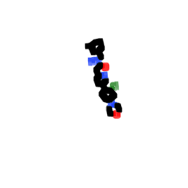 Cc1cccc(CNC(=O)Cc2ccc(-c3ccc(N4CCOCC4)cc3Cl)cn2)c1